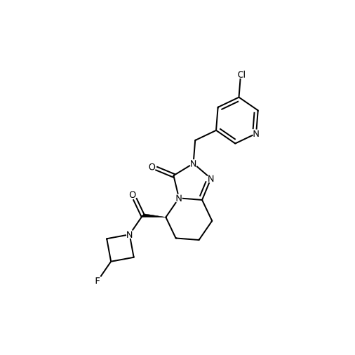 O=C([C@@H]1CCCc2nn(Cc3cncc(Cl)c3)c(=O)n21)N1CC(F)C1